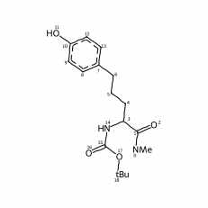 CNC(=O)C(CCCc1ccc(O)cc1)NC(=O)OC(C)(C)C